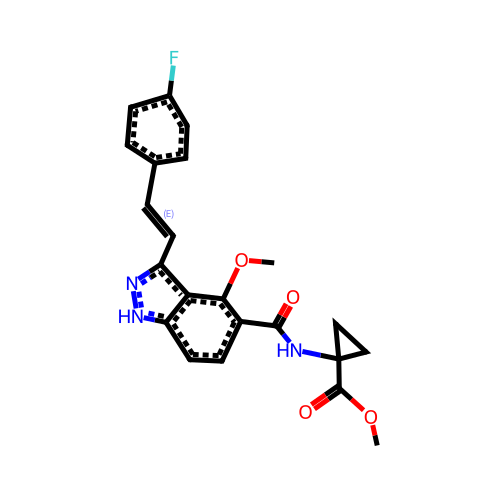 COC(=O)C1(NC(=O)c2ccc3[nH]nc(/C=C/c4ccc(F)cc4)c3c2OC)CC1